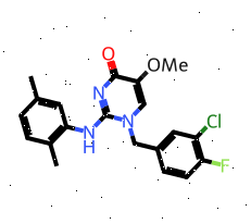 COc1cn(Cc2ccc(F)c(Cl)c2)c(Nc2cc(C)ccc2C)nc1=O